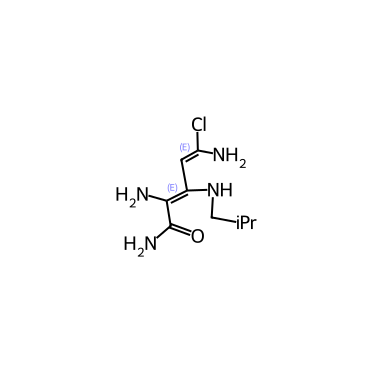 CC(C)CNC(/C=C(\N)Cl)=C(/N)C(N)=O